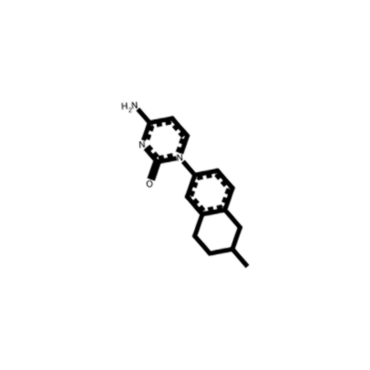 CC1CCc2cc(-n3ccc(N)nc3=O)ccc2C1